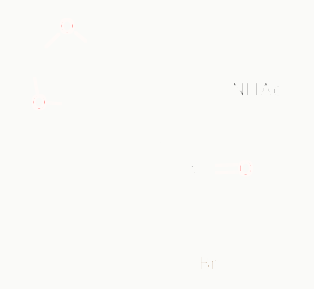 CC(=O)Nc1cc2c(cc1C(=O)CBr)OCO2